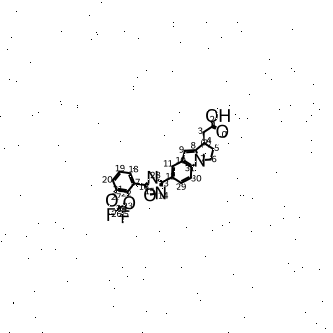 O=C(O)C[C@H]1CCn2c1cc1cc(-c3noc(-c4cccc5c4OC(F)(F)O5)n3)ccc12